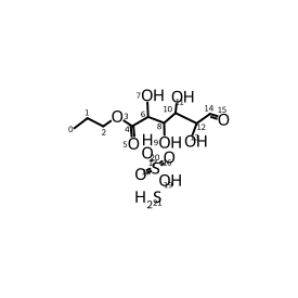 CCCOC(=O)C(O)C(O)C(O)C(O)C=O.O=S(=O)(O)O.S